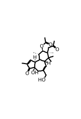 CC(=O)C[C@]1(C)[C@H](OC(C)=O)[C@@H](C)C2[C@@H](C=C(CO)C[C@]3(O)C(=O)C(C)=C[C@@H]23)C1(C)C